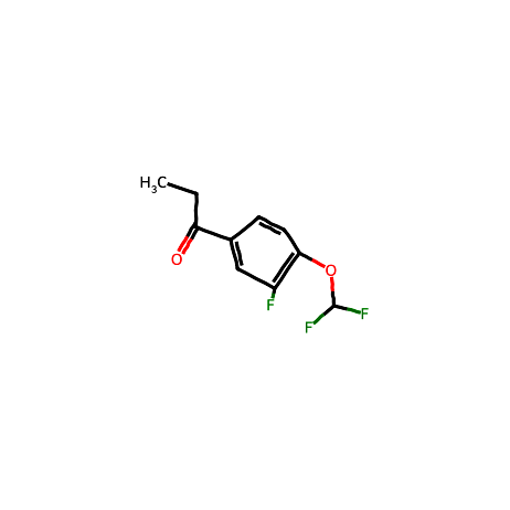 CCC(=O)c1ccc(OC(F)F)c(F)c1